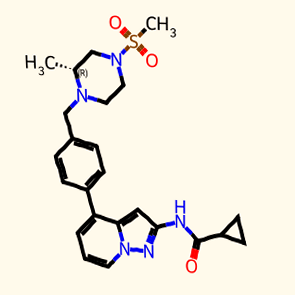 C[C@@H]1CN(S(C)(=O)=O)CCN1Cc1ccc(-c2cccn3nc(NC(=O)C4CC4)cc23)cc1